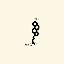 COC(=O)CCC[C@H]1CCC2C3CC[C@H]4C[C@@H](O)CC[C@]4(C)C3CC[C@@]21C